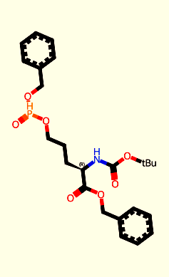 CC(C)(C)OC(=O)N[C@H](CCCO[PH](=O)OCc1ccccc1)C(=O)OCc1ccccc1